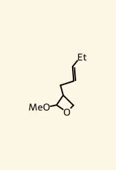 CCC=CCC1COC1OC